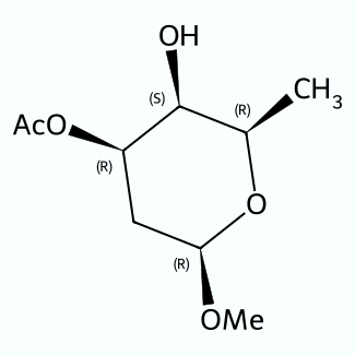 CO[C@H]1C[C@@H](OC(C)=O)[C@@H](O)[C@@H](C)O1